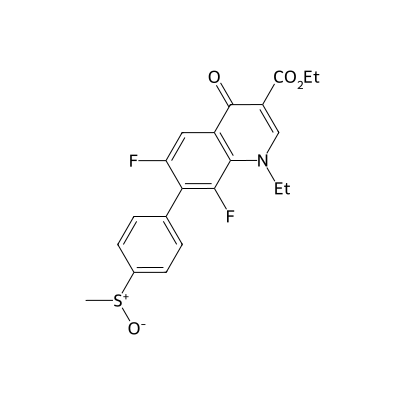 CCOC(=O)c1cn(CC)c2c(F)c(-c3ccc([S+](C)[O-])cc3)c(F)cc2c1=O